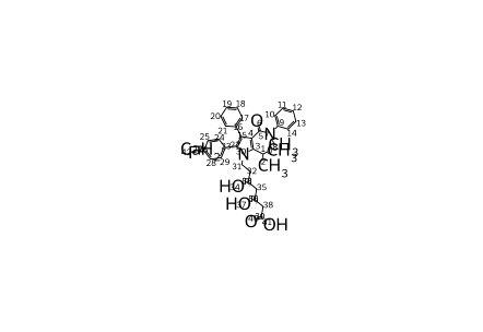 CC(C)c1c(C(=O)N(C)c2ccccc2)c(-c2ccccc2)c(-c2ccc(F)cc2)n1CC[C@@H](O)C[C@@H](O)CC(=O)O.[CaH2]